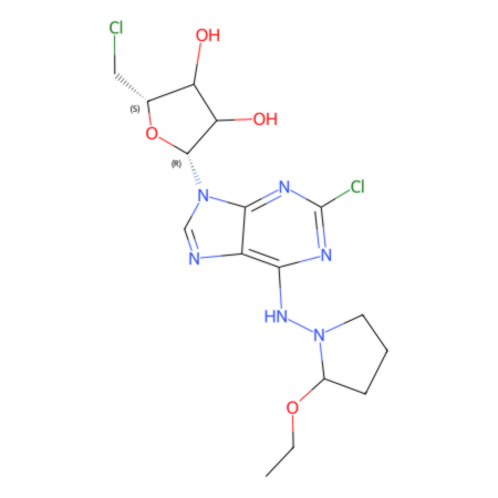 CCOC1CCCN1Nc1nc(Cl)nc2c1ncn2[C@@H]1O[C@H](CCl)C(O)C1O